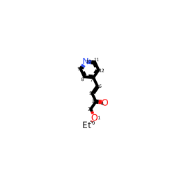 CCOCC(=O)C=Cc1ccncc1